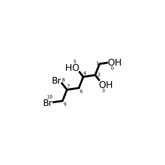 OCC(O)C(O)CC(Br)CBr